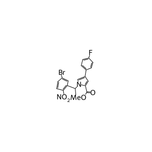 COC(=O)c1cc(-c2ccc(F)cc2)cn1C(C)c1cc(Br)ccc1[N+](=O)[O-]